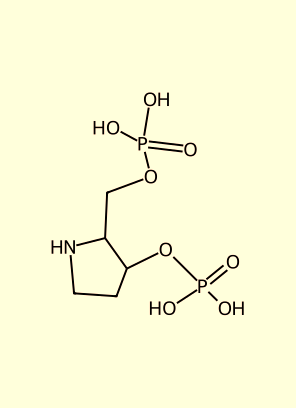 O=P(O)(O)OCC1NCCC1OP(=O)(O)O